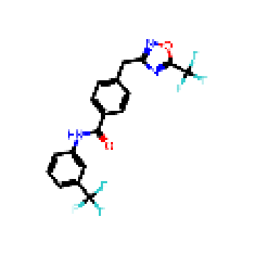 O=C(Nc1cccc(C(F)(F)F)c1)c1ccc(Cc2noc(C(F)(F)F)n2)cc1